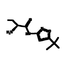 CC[C@H](N)C(=O)Nc1cc(C(C)(C)C)on1